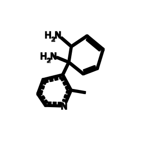 Cc1ncccc1C1(N)C=CC=CC1N